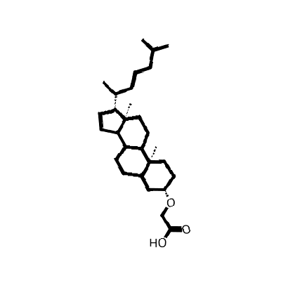 CC(C)CCCC(C)[C@H]1CCC2C3CCC4C[C@@H](OCC(=O)O)CC[C@]4(C)C3CC[C@@]21C